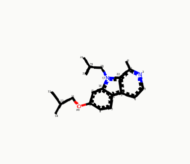 Cc1nccc2c3ccc(OCC(C)C)cc3n(CC(C)C)c12